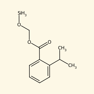 CC(C)c1ccccc1C(=O)OCO[SiH3]